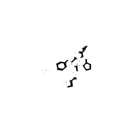 COc1ccc(C[C@H](NC(=O)[C@@H](C)NC(=O)c2ccno2)C(=O)N[C@@H](CC2CCCC2)C(=O)[C@]2(C)CO2)cc1